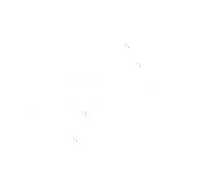 O=C(N[C@@H](CO)C(O)c1ccccn1)c1cccc(Cl)c1-c1cc(-c2ccc(F)cc2)[nH]n1